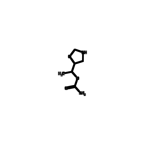 CC(OC(N)=O)C1CNCO1